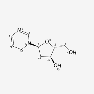 OC[C@H]1O[C@H](N2C=NC=CC2)C[C@@H]1O